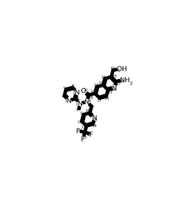 CN(c1ncccn1)N(Cc1ccc(C(F)(F)F)cn1)C(=O)c1ccc2nc(N)c(CO)cc2c1